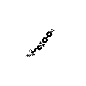 COc1ccc(-c2ccc(S(=O)(=O)n3ccc(/C=C/C(=O)NO)c3)cc2)cc1